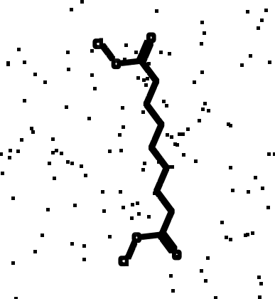 O=C(CCCCCCCC(=O)OCl)OCl